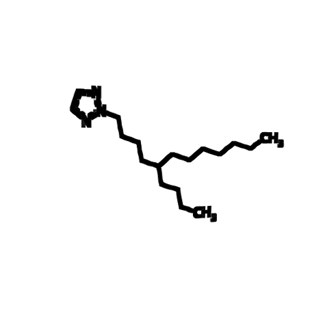 CCCCCCCC(CCCC)CCCCn1nccn1